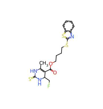 CC1=C(C(=O)OCCCCSc2nc3ccccc3s2)C(CF)NC(=S)N1